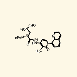 CCCCC[C@H](CN(O)C=O)C(=O)NNc1ccn(-c2cccc3cccnc23)c(=O)c1C